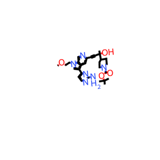 COCCn1cc(-c2ccnc(N)n2)c2cc(C#CC(C)(O)C3CCN(C(=O)OC(C)(C)C)CC3)ncc21